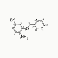 Nc1ccc(Br)cc1OCc1ccncn1